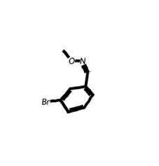 CO/N=[C]\c1cccc(Br)c1